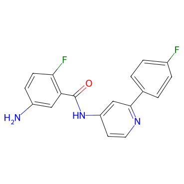 Nc1ccc(F)c(C(=O)Nc2ccnc(-c3ccc(F)cc3)c2)c1